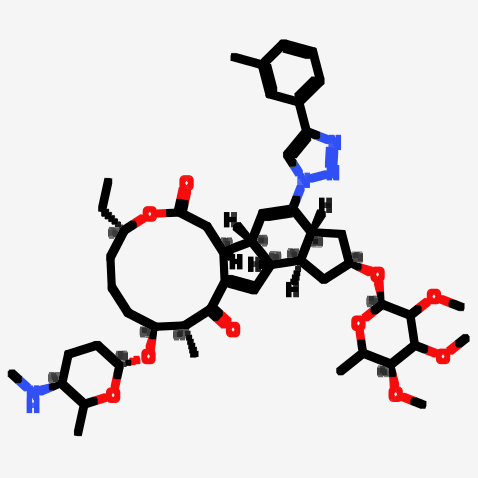 CC[C@H]1CCC[C@H](O[C@H]2CC[C@H](NC)C(C)O2)[C@@H](C)C(=O)C2=C[C@@H]3[C@@H](C=C(n4cc(-c5cccc(C)c5)nn4)[C@@H]4C[C@@H](O[C@@H]5OC(C)[C@H](OC)C(OC)C5OC)C[C@@H]34)[C@@H]2CC(=O)O1